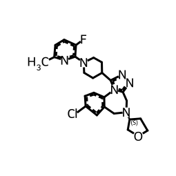 Cc1ccc(F)c(N2CCC(c3nnc4n3-c3ccc(Cl)cc3CN([C@H]3CCOC3)C4)CC2)n1